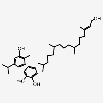 C/C(=C\CO)CCCC(C)CCCC(C)CCCC(C)C.COc1ccccc1O.Cc1ccc(C(C)C)cc1O